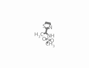 CC(NS(C)(=O)=O)c1nccs1